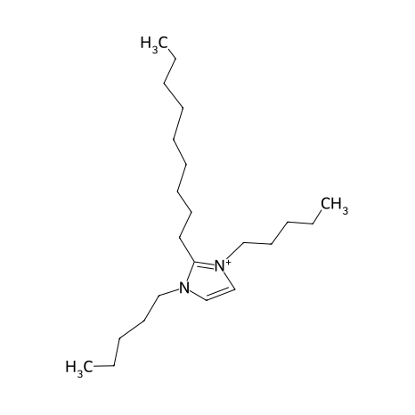 CCCCCCCCCc1n(CCCCC)cc[n+]1CCCCC